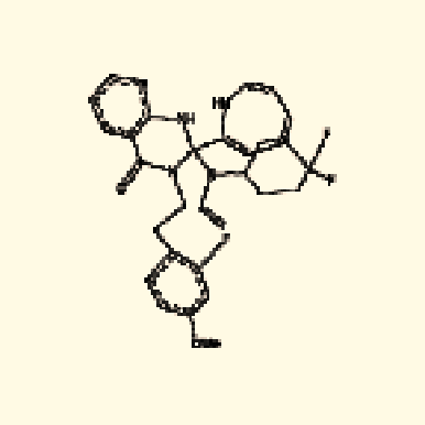 C=CN(C1CCC(F)(F)CC1)C1(C2=CC=CC=CN2)Nc2ccccc2C(=O)N1CCc1ccc(OC)cc1F